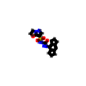 O=C(Nc1c2c(cc3c1CCC3)CCC2)NS(=O)(=O)c1cnn2c1OCC2